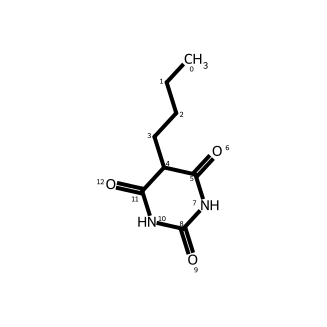 CCCCC1C(=O)NC(=O)NC1=O